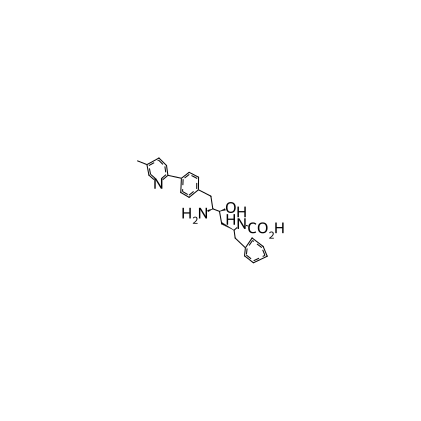 Cc1ccc(-c2ccc(C[C@H](N)[C@@H](O)C[C@H](Cc3ccccc3)NC(=O)O)cc2)nc1